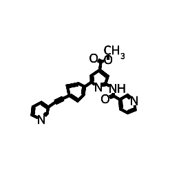 COC(=O)c1cc(NC(=O)c2cccnc2)nc(-c2ccc(C#Cc3cccnc3)cc2)c1